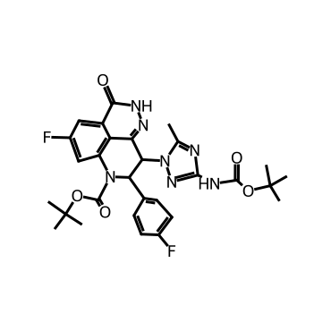 Cc1nc(NC(=O)OC(C)(C)C)nn1C1c2n[nH]c(=O)c3cc(F)cc(c23)N(C(=O)OC(C)(C)C)C1c1ccc(F)cc1